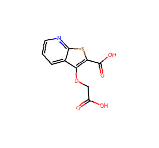 O=C(O)COc1c(C(=O)O)sc2ncccc12